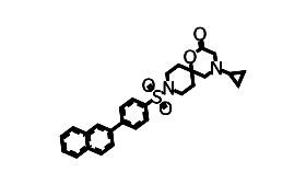 O=C1CN(C2CC2)CC2(CCN(S(=O)(=O)c3ccc(-c4ccc5ccccc5c4)cc3)CC2)O1